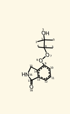 CC(C)(O)C(C)(C)OOc1cccc2c1CNC2=O